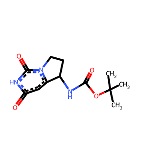 CC(C)(C)OC(=O)NC1CCn2c1cc(=O)[nH]c2=O